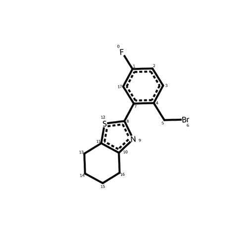 Fc1ccc(CBr)c(-c2nc3c(s2)CCCC3)c1